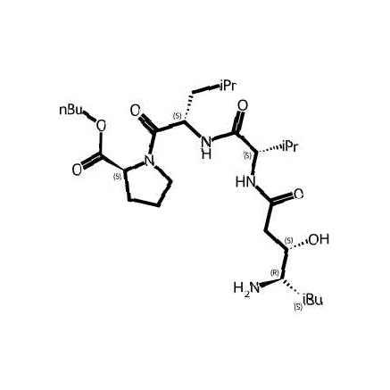 CCCCOC(=O)[C@@H]1CCCN1C(=O)[C@H](CC(C)C)NC(=O)[C@@H](NC(=O)C[C@H](O)[C@H](N)[C@@H](C)CC)C(C)C